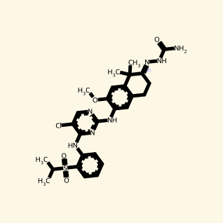 COc1cc2c(cc1Nc1ncc(Cl)c(Nc3ccccc3S(=O)(=O)C(C)C)n1)CC/C(=N\NC(N)=O)C2(C)C